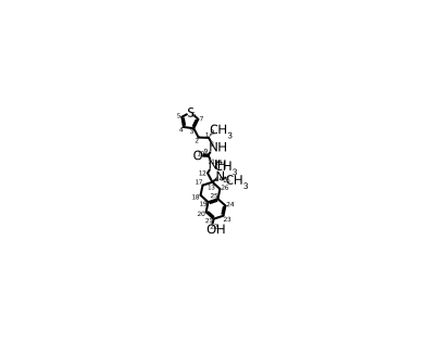 C[C@@H](Cc1ccsc1)NC(=O)NCC1(N(C)C)CCc2cc(O)ccc2C1